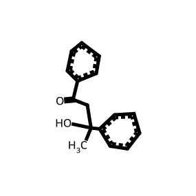 CC(O)(CC(=O)c1ccccc1)c1ccccc1